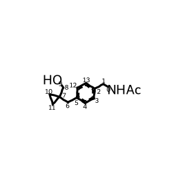 CC(=O)NCc1ccc(CC2(CO)CC2)cc1